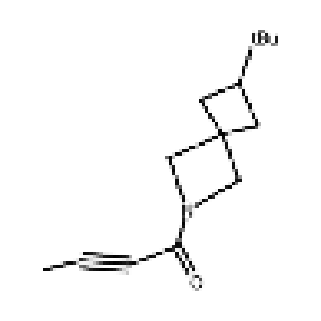 CC#CC(=O)N1CC2(CC(C(C)(C)C)C2)C1